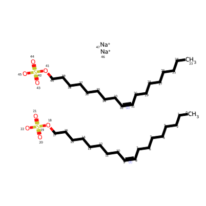 CCCCCCCC/C=C\CCCCCCCCOS(=O)(=O)[O-].CCCCCCCC/C=C\CCCCCCCCOS(=O)(=O)[O-].[Na+].[Na+]